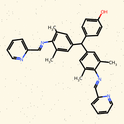 Cc1cc(C(c2ccc(O)cc2)c2cc(C)c(N=Cc3ccccn3)c(C)c2)cc(C)c1N=Cc1ccccn1